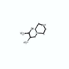 CC(O)C(CN1CCNCC1)S(=O)(=O)O